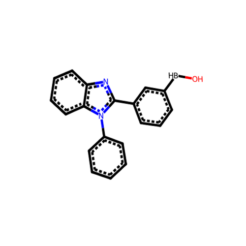 OBc1cccc(-c2nc3ccccc3n2-c2ccccc2)c1